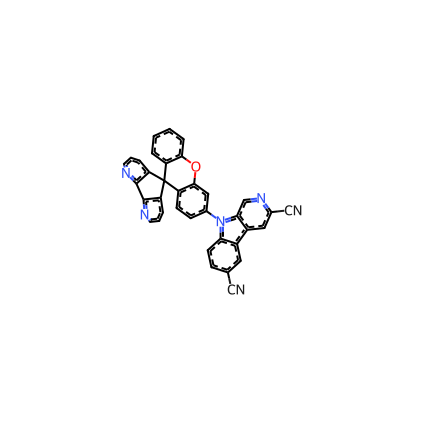 N#Cc1ccc2c(c1)c1cc(C#N)ncc1n2-c1ccc2c(c1)Oc1ccccc1C21c2cccnc2-c2ncccc21